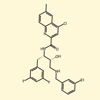 CCc1cccc(CNC[C@@H](O)[C@H](Cc2cc(F)cc(F)c2)NC(=O)c2cc(Cl)c3cc(C)ccc3n2)c1